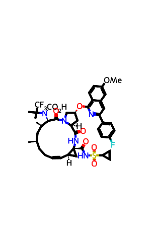 COc1ccc2c(O[C@@H]3C[C@H]4C(=O)N[C@]5(C(=O)NS(=O)(=O)C6CC6)C[C@H]5/C=C\CC[C@@H](C)C[C@@H](C)[C@H](N(C(=O)O)C(C)(C)C(F)(F)F)C(=O)N4C3)nc(-c3ccc(F)cc3)cc2c1